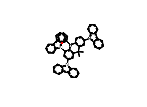 CC1(C)c2cc(-n3c4ccccc4c4ccccc43)ccc2N(c2ccccc2)c2c(-n3c4ccccc4c4ccccc43)cc(-n3c4ccccc4c4ccccc43)cc21